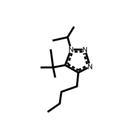 CCCCc1nnn(C(C)C)c1C(C)(C)C